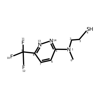 CN(CCS)c1ccc(C(F)(F)F)nn1